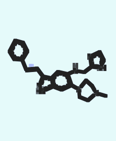 CN1CCN(c2cc3[nH]nc(/C=C/c4ccccc4)c3cc2NCc2ncc[nH]2)CC1